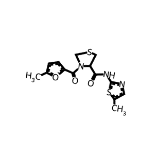 Cc1ccc(C(=O)N2CSCC2C(=O)Nc2ncc(C)s2)o1